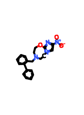 O=[N+]([O-])c1cn2c(n1)OCCN(Cc1ccccc1-c1ccccc1)CC2